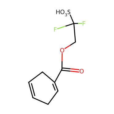 O=C(OCC(F)(F)S(=O)(=O)O)C1=CCC=CC1